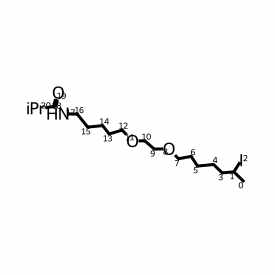 CC(I)CCCCCOCCOCCCCCNC(=O)C(C)C